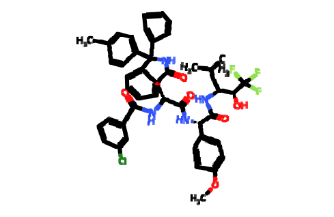 COc1ccc([C@H](NC(=O)[C@H](CC(=O)NC(c2ccccc2)(c2ccccc2)c2ccc(C)cc2)NC(=O)c2cccc(Cl)c2)C(=O)N[C@@H](C(C)C)[C@H](O)C(F)(F)F)cc1